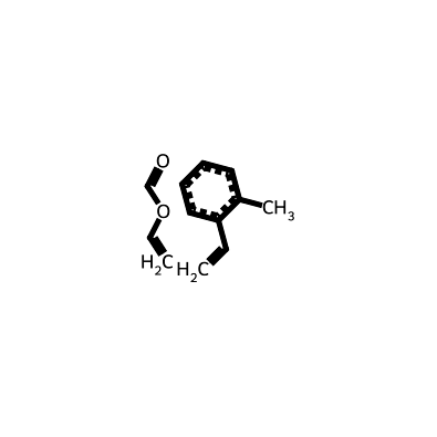 C=COC=O.C=Cc1ccccc1C